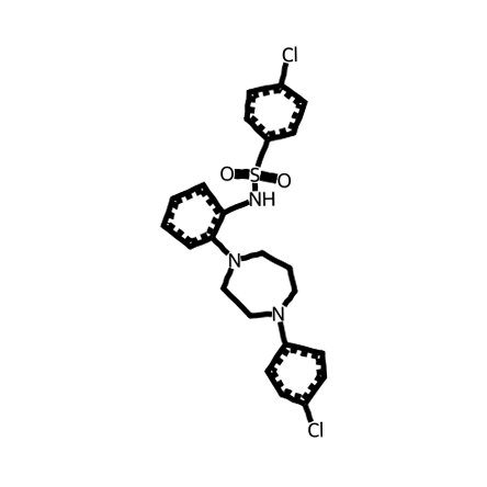 O=S(=O)(Nc1ccccc1N1CCCN(c2ccc(Cl)cc2)CC1)c1ccc(Cl)cc1